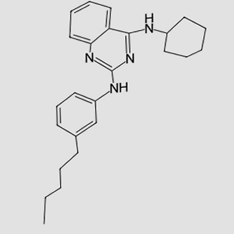 CCCCCc1cccc(Nc2nc(NC3CCCCC3)c3ccccc3n2)c1